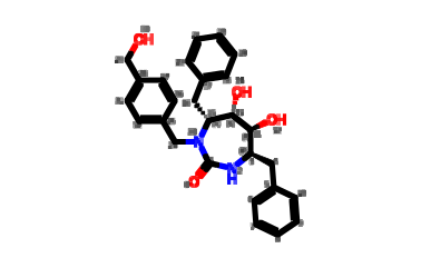 O=C1N[C@H](Cc2ccccc2)[C@H](O)[C@@H](O)[C@@H](Cc2ccccc2)N1Cc1ccc(CO)cc1